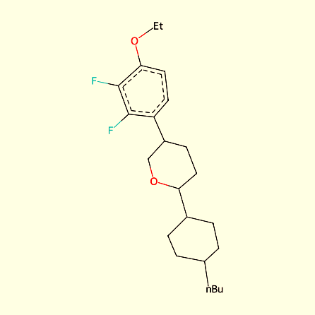 CCCCC1CCC(C2CCC(c3ccc(OCC)c(F)c3F)CO2)CC1